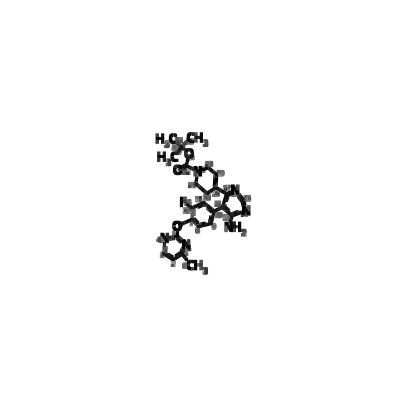 Cc1ccnc(Oc2ccc(-c3c(N)ncnc3C3=CCN(C(=O)OC(C)(C)C)CC3)cc2F)n1